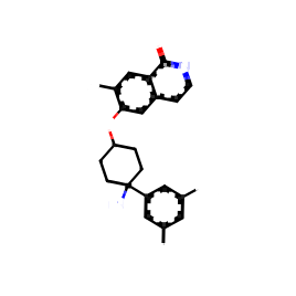 Cc1cc(C)cc(C2(N)CCC(Oc3cc4cc[nH]c(=O)c4cc3C)CC2)c1